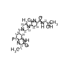 CCc1nc2c(F)cc(CN3CCN(c4ccc(C(=O)NC[C@H](C)O)nc4C)CC3)cc2[nH]c1=O